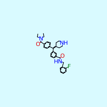 CCN(CC)C(=O)c1ccc(C(=C2CCNCC2)c2cccc(C(=O)NCc3ccccc3F)c2)cc1